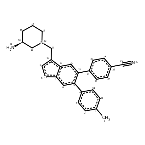 Cc1ccc(-c2cc3occ(CN4CCC[C@H](N)C4)c3cc2-c2ccc(C#N)cc2)cc1